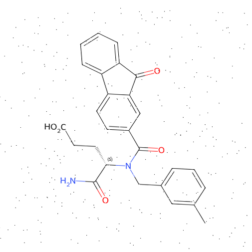 Cc1cccc(CN(C(=O)c2ccc3c(c2)C(=O)c2ccccc2-3)[C@@H](CCC(=O)O)C(N)=O)c1